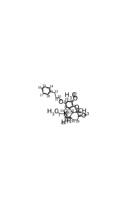 CCN1CC[C@]23c4c5c(OCCCc6ccccc6)cc(OC)c4O[C@@]2(C)C(=O)CC[C@H]3[C@H]1C5